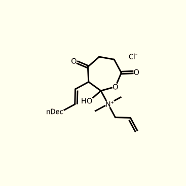 C=CC[N+](C)(C)C1(O)OC(=O)CCC(=O)C1C=CCCCCCCCCCC.[Cl-]